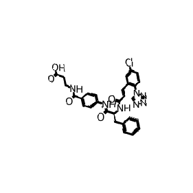 O=C(O)CCNC(=O)c1ccc(NC(=O)[C@H](Cc2ccccc2)NC(=O)C=Cc2cc(Cl)ccc2-n2cnnn2)cc1